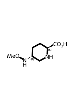 CON[C@@H]1CC[C@@H](C(=O)O)NC1